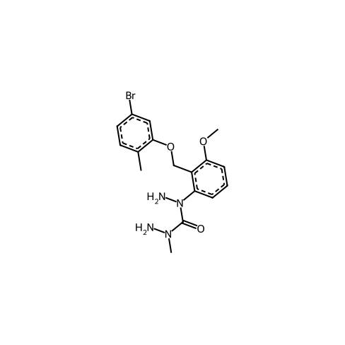 COc1cccc(N(N)C(=O)N(C)N)c1COc1cc(Br)ccc1C